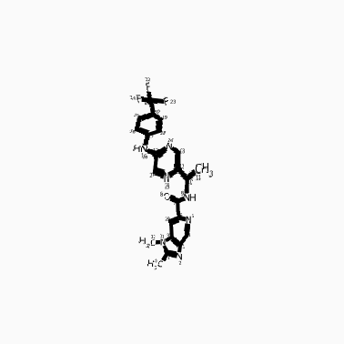 Cc1nc2cnc(C(=O)NC(C)c3cnc(Nc4ccc(C(F)(F)F)cc4)cn3)cc2n1C